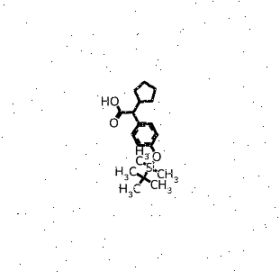 CC(C)(C)[Si](C)(C)Oc1ccc(C(C(=O)O)C2CCCC2)cc1